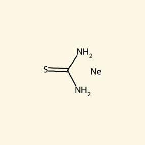 NC(N)=S.[Ne]